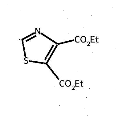 CCOC(=O)c1n[c]sc1C(=O)OCC